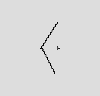 CCCCCCCCCCCCCCCCC=CCC(C)C=CCCCCCCCCCCCCCCCC.CN(C)C